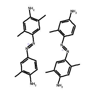 Cc1cc(/N=N/c2cc(C)c(N)cc2C)ccc1N.Cc1cc(/N=N/c2ccc(N)cc2C)c(C)cc1N